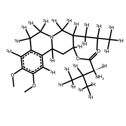 [2H]c1c(OC)c(OC)c([2H])c2c1C1([2H])CC([2H])(OC(=O)[C@@]([2H])(N)C([2H])(C([2H])([2H])[2H])C([2H])([2H])[2H])C([2H])(C([2H])([2H])C([2H])(C)C([2H])([2H])[2H])C([2H])([2H])N1C([2H])([2H])C2([2H])[2H]